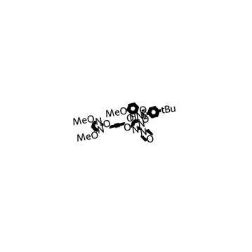 COc1cc(OC)nc(OCC#CCOc2nc(N3CCOCC3)nc(NS(=O)(=O)c3ccc(C(C)(C)C)cc3)c2Oc2ccccc2OC)n1